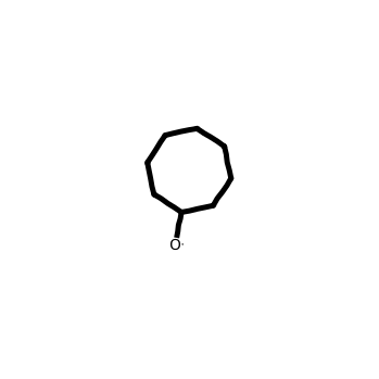 [O]C1CCCCCCC1